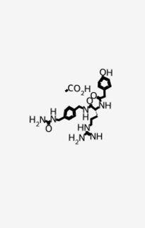 CC(=O)O.N=C(N)NCCC[C@@H](NC(=O)Cc1ccc(O)cc1)C(=O)NCc1ccc(CNC(N)=O)cc1